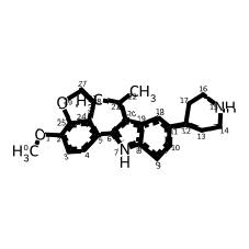 COc1ccc(-c2[nH]c3ccc(C4CCNCC4)cc3c2C(C)C)c2c1OCC2